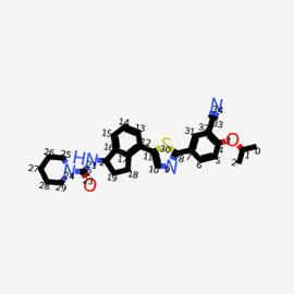 CC(C)Oc1ccc(-c2ncc(-c3cccc4c3CCC4NC(=O)N3CCCCC3)s2)cc1C#N